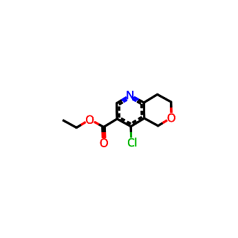 CCOC(=O)c1cnc2c(c1Cl)COCC2